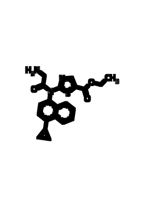 CCOC(=O)c1cnc(N(C(=O)CN)c2ccc(C3CC3)c3ccccc23)s1